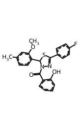 COc1cc(C)ccc1C1SC(c2ccc(F)cc2)=NN1C(=O)c1ccccc1O